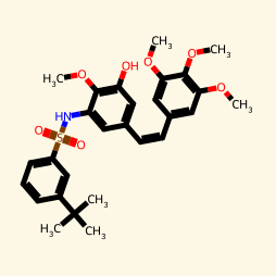 COc1cc(/C=C\c2cc(O)c(OC)c(NS(=O)(=O)c3cccc(C(C)(C)C)c3)c2)cc(OC)c1OC